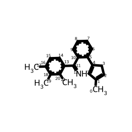 CC1=CCC(c2ccccc2C(=N)c2ccc(C)c(C)c2C)=C1